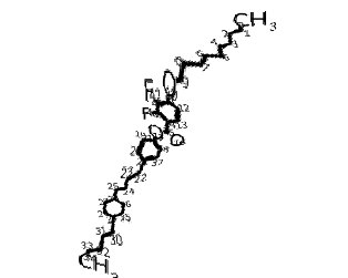 CCCCCCCCCCOc1ccc(C(=O)Oc2ccc(CCCCC3CCC(CCCCC)CC3)cc2)c(F)c1F